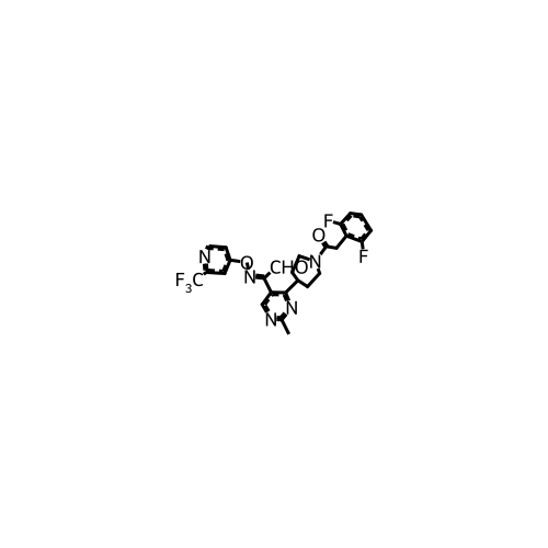 Cc1ncc(C(C=O)=NOc2ccnc(C(F)(F)F)c2)c(C2CCN(C(=O)Cc3c(F)cccc3F)CC2)n1